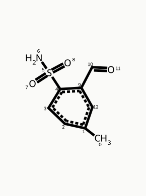 Cc1ccc(S(N)(=O)=O)c(C=O)c1